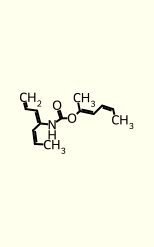 C=C/C=C(\C=C/C)NC(=O)O/C(C)=C/C=C\C